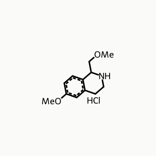 COCC1NCCc2cc(OC)ccc21.Cl